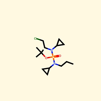 CCCN(C1CC1)P(=O)(OC(C)(C)C)N(CCCl)C1CC1